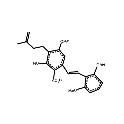 C=C(C)CCc1c(OC)cc(/C=C/c2c(OC)cccc2OC)c(C(=O)O)c1O